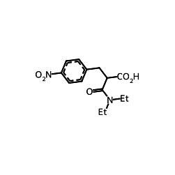 CCN(CC)C(=O)C(Cc1ccc([N+](=O)[O-])cc1)C(=O)O